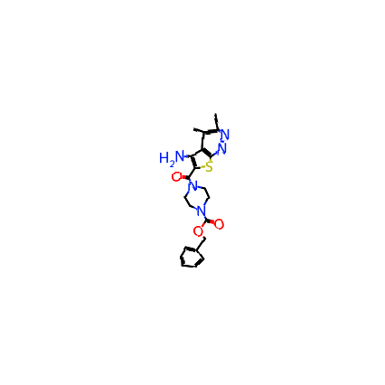 Cc1nnc2sc(C(=O)N3CCN(C(=O)OCc4ccccc4)CC3)c(N)c2c1C